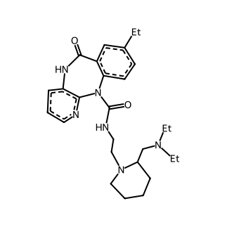 CCc1ccc2c(c1)C(=O)Nc1cccnc1N2C(=O)NCCN1CCCCC1CN(CC)CC